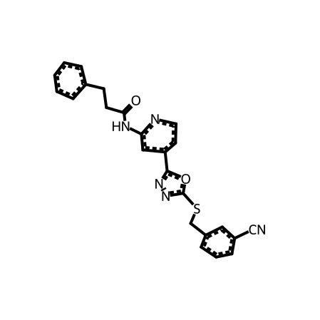 N#Cc1cccc(CSc2nnc(-c3ccnc(NC(=O)CCc4ccccc4)c3)o2)c1